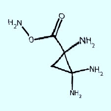 NOC(=O)C1(N)CC1(N)N